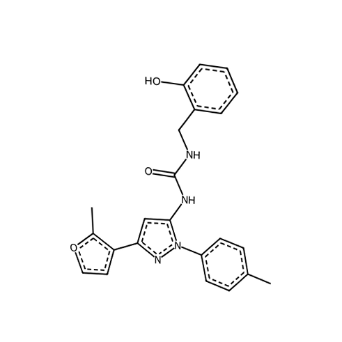 Cc1ccc(-n2nc(-c3ccoc3C)cc2NC(=O)NCc2ccccc2O)cc1